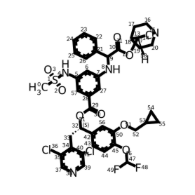 CS(=O)(=O)Nc1cc(NC(C(=O)O[C@H]2CN3CCC2CC3)c2ccccc2)cc(C(=O)O[C@@H](Cc2c(Cl)cncc2Cl)c2ccc(OC(F)F)c(OCC3CC3)c2)c1